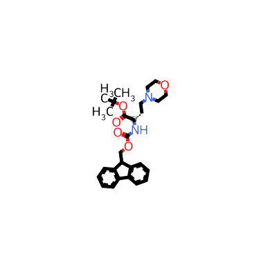 CC(C)(C)OC(=O)[C@H](CCN1CCOCC1)NC(=O)OCC1c2ccccc2-c2ccccc21